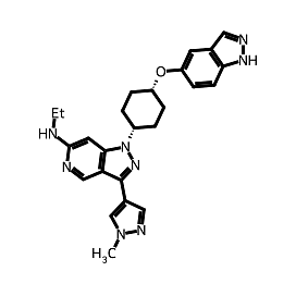 CCNc1cc2c(cn1)c(-c1cnn(C)c1)nn2[C@H]1CC[C@@H](Oc2ccc3[nH]ncc3c2)CC1